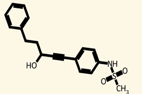 CS(=O)(=O)Nc1ccc(C#CC(O)CCc2ccccc2)cc1